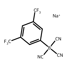 N#C[B-](C#N)(C#N)c1cc(C(F)(F)F)cc(C(F)(F)F)c1.[Na+]